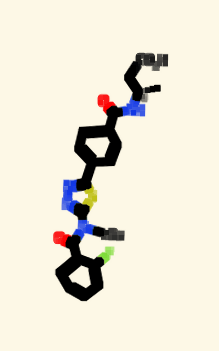 CCCCN(C(=O)c1ccccc1F)c1nnc(-c2ccc(C(=O)N[C@@H](C)CC(=O)O)cc2)s1